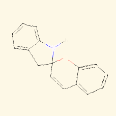 O=[N+]([O-])N1c2ccccc2CC12C=Cc1ccccc1O2